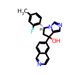 Cc1ccc([C@H]2CC(O)(c3ccc4cnccc4c3)c3cncn32)c(F)c1